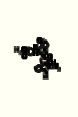 CN1CC(Nc2nc(N3CC[C@]4(CC3=O)c3ccccc3NC[N+]4(C)C)nc3c2[S+]([O-])CC3)CCC1=O